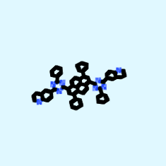 c1ccc(-c2nc(-c3ccc4ncccc4c3)nc(-c3cc(-c4ccccc4)c4ccc5c(-c6nc(-c7ccccc7)nc(-c7ccc8ncccc8c7)n6)cc(-c6ccccc6)c6ccc3c4c65)n2)cc1